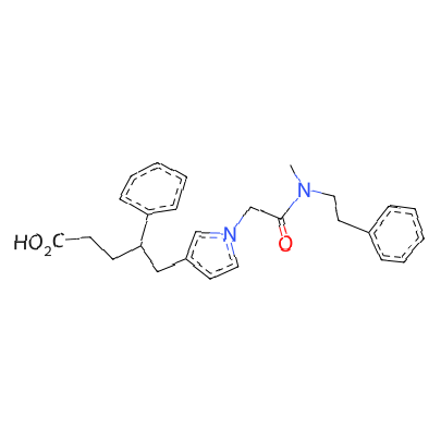 CN(CCc1ccccc1)C(=O)Cn1ccc(CC(CCC(=O)O)c2ccccc2)c1